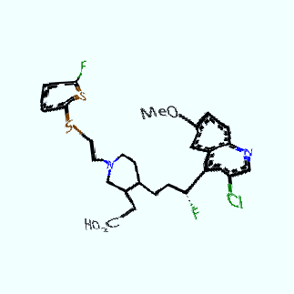 COc1ccc2ncc(Cl)c([C@H](F)CCC3CCN(CCSc4ccc(F)s4)CC3CC(=O)O)c2c1